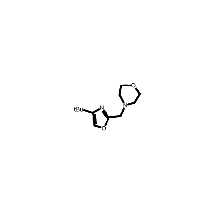 CC(C)(C)c1coc(CN2CCOCC2)n1